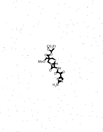 CCOC(=O)OC(C)OC(=O)C1(COC)CS[C@@H]2C(NC(=O)C(=O)c3csc(N)n3)C(=O)N2C1